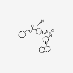 N#CCC1CN(c2nc(Cl)nc3c2CCN(c2cccc4ccccc24)C3)CCN1C(=O)OCC1=CC=CCC=C1